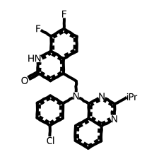 CC(C)c1nc(N(Cc2cc(=O)[nH]c3c(F)c(F)ccc23)c2cccc(Cl)c2)c2ccccc2n1